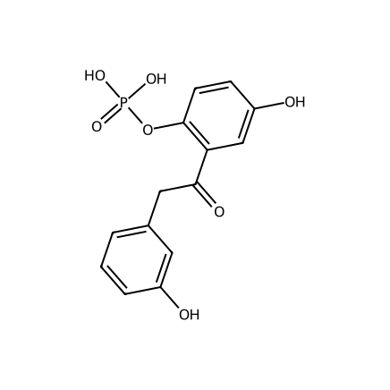 O=C(Cc1cccc(O)c1)c1cc(O)ccc1OP(=O)(O)O